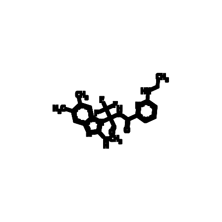 CCNc1cccc(C(=O)NC(C=O)(n2c(NC)nc3cc(C)c(C)cc32)C(F)(F)F)n1